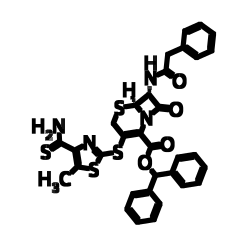 Cc1sc(SC2=C(C(=O)OC(c3ccccc3)c3ccccc3)N3C(=O)[C@@H](NC(=O)Cc4ccccc4)[C@@H]3SC2)nc1C(N)=S